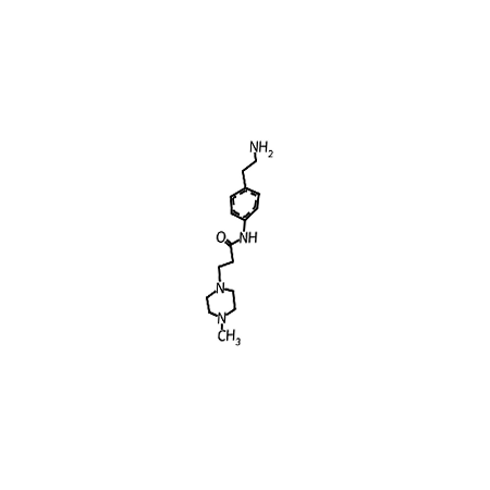 CN1CCN(CCC(=O)Nc2ccc(CCN)cc2)CC1